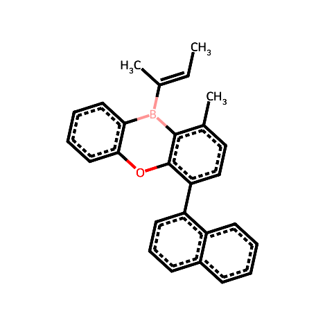 C/C=C(\C)B1c2ccccc2Oc2c(-c3cccc4ccccc34)ccc(C)c21